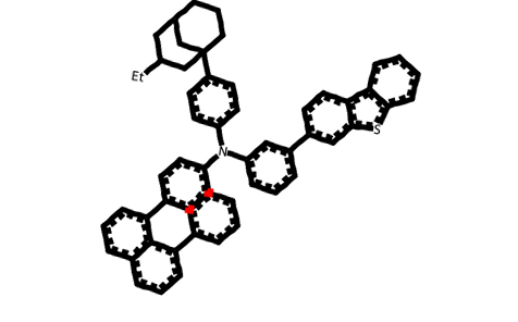 CCC1CC2CCCC(c3ccc(N(c4ccc(-c5cccc6cccc(-c7ccccc7)c56)cc4)c4cccc(-c5ccc6c(c5)sc5ccccc56)c4)cc3)(C1)C2